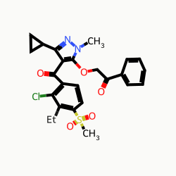 CCc1c(S(C)(=O)=O)ccc(C(=O)c2c(C3CC3)nn(C)c2OCC(=O)c2ccccc2)c1Cl